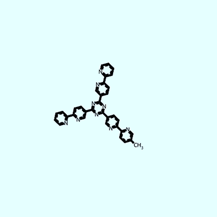 Cc1ccc(-c2ccc(-c3nc(-c4ccc(-c5ccccn5)nc4)nc(-c4ccc(-c5ccccn5)nc4)n3)cn2)nc1